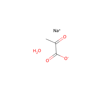 CC(=O)C(=O)[O-].O.[Na+]